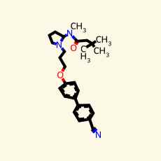 CN(C(=O)CC(C)(C)C)C1CCCN1CCCOc1ccc(-c2ccc(C#N)cc2)cc1